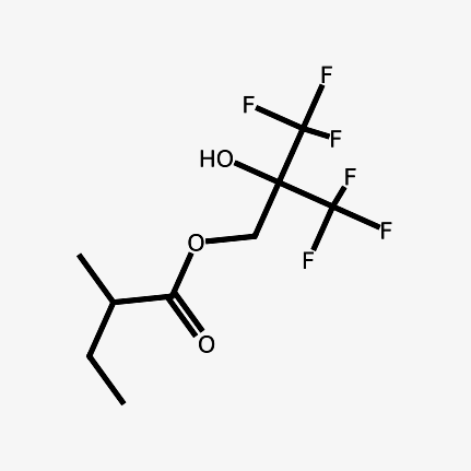 CCC(C)C(=O)OCC(O)(C(F)(F)F)C(F)(F)F